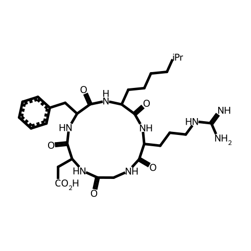 CC(C)CCCCC1NC(=O)C(Cc2ccccc2)NC(=O)C(CC(=O)O)NC(=O)CNC(=O)C(CCCNC(=N)N)NC1=O